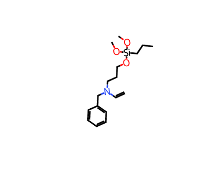 C=CN(CCCO[Si](CCC)(OC)OC)Cc1ccccc1